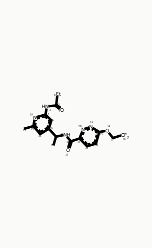 CCC(=O)Nc1cc(C(C)NC(=O)c2ccc(OCC(F)(F)F)nn2)cc(C)n1